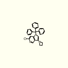 Clc1cc2c(cn1)c(N1CCC1)cn2C(c1ccccc1)(c1ccccc1)c1ccccc1